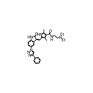 CCN(CC)CCNC(=O)c1c(C)[nH]c(/C=C2\C(=O)Nc3ccc(-n4cc(-c5ccccc5)nn4)cc32)c1C